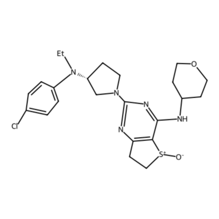 CCN(c1ccc(Cl)cc1)[C@@H]1CCN(c2nc3c(c(NC4CCOCC4)n2)[S+]([O-])CC3)C1